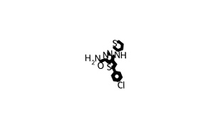 NC(=O)c1nnc(NC2CCCSC2)c2cc(-c3ccc(Cl)cc3)sc12